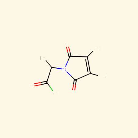 CCC(C(=O)Cl)N1C(=O)C(C)=C(C)C1=O